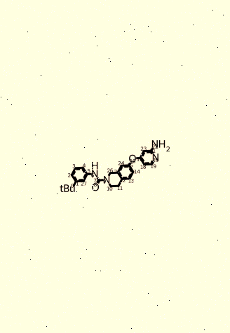 CC(C)(C)c1cccc(NC(=O)N2CCc3ccc(Oc4ccnc(N)c4)cc3C2)c1